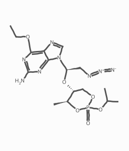 CCOc1nc(N)nc2c1ncn2[C@@H](CN=[N+]=[N-])O[C@@H]1COP(=O)(OC(C)C)O[C@H]1C